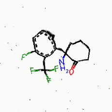 NC1(c2cccc(F)c2C(F)(F)F)CCCCC1=O